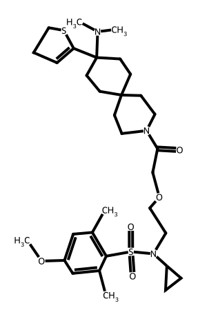 COc1cc(C)c(S(=O)(=O)N(CCOCC(=O)N2CCC3(CC2)CCC(C2=CCCS2)(N(C)C)CC3)C2CC2)c(C)c1